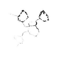 Cc1cccc(CC2(O)C(=Cc3ccccc3)CCCCC2CN2CCN(C)CC2)c1